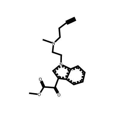 C#CCCN(C)CCn1cc(C(=O)C(=O)OC)c2ccccc21